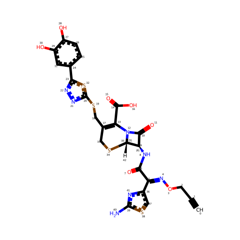 C#CCON=C(C(=O)N[C@@H]1C(=O)N2C(C(=O)O)=C(CSc3nnc(-c4ccc(O)c(O)c4)s3)CS[C@@H]12)c1csc(N)n1